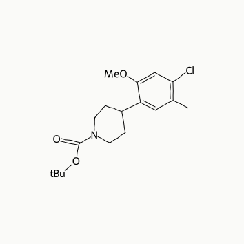 COc1cc(Cl)c(C)cc1C1CCN(C(=O)OC(C)(C)C)CC1